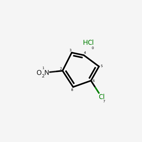 Cl.O=[N+]([O-])c1cccc(Cl)c1